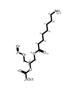 CCCCCCCCC(=O)O[C@@H](COP=O)COC(=O)CCCCCCCN